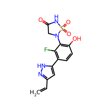 C=Cc1cc(-c2ccc(O)c(N3CC(=O)NS3(=O)=O)c2F)[nH]n1